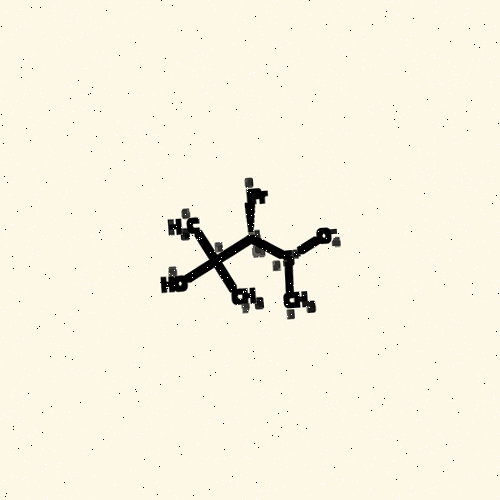 CC(C)[C@H]([S+](C)[O-])C(C)(C)O